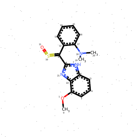 COc1cccc2[nH]c(C(=S=O)c3ccccc3N(C)C)nc12